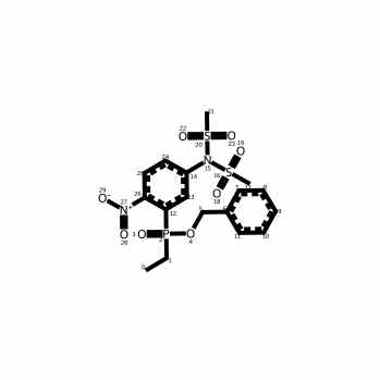 CCP(=O)(OCc1ccccc1)c1cc(N(S(C)(=O)=O)S(C)(=O)=O)ccc1[N+](=O)[O-]